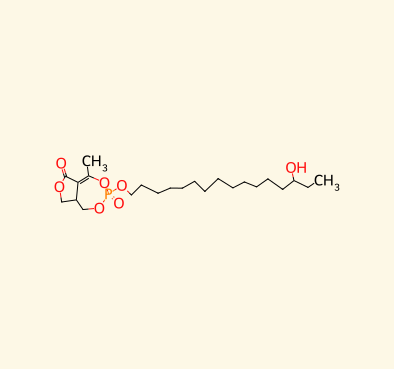 CCC(O)CCCCCCCCCCCCCOP1(=O)OCC2COC(=O)C2=C(C)O1